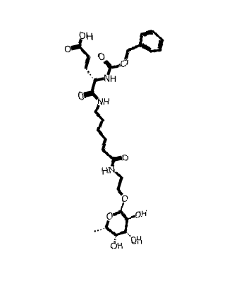 C[C@@H]1O[C@@H](OCCNC(=O)CCCCCNC(=O)[C@H](CCC(=O)O)NC(=O)OCc2ccccc2)[C@@H](O)[C@H](O)[C@@H]1O